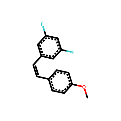 COc1ccc(/C=C\c2cc(F)cc(F)c2)cc1